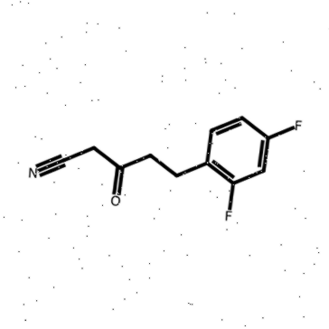 N#CCC(=O)CCc1ccc(F)cc1F